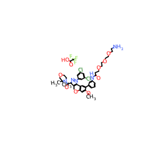 COc1cc2c(cc1-c1cccc(NC(=O)CCOCCOCCOCCN)c1)-c1c(c(C(=O)N3CCOCC3(C)C)nn1-c1cc(Cl)cc(Cl)c1)CO2.O=C(O)C(F)(F)F